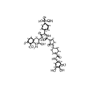 O=C(O)c1c(F)ccc2c1OB(O)C(NC(=O)C(NC(=O)N1CCN(C3CCN(C(=O)Nc4cc(O)c(O)c(Cl)c4)CC3)C1=O)c1ccc(P(=O)(O)O)cc1)C2